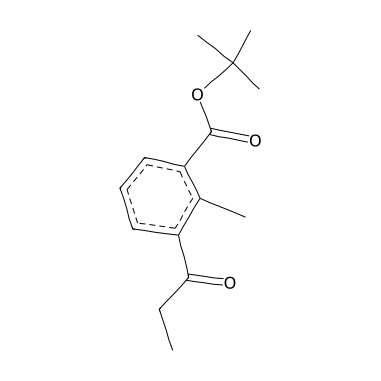 CCC(=O)c1cccc(C(=O)OC(C)(C)C)c1C